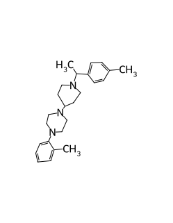 Cc1ccc(C(C)N2CCC(N3CCN(c4ccccc4C)CC3)CC2)cc1